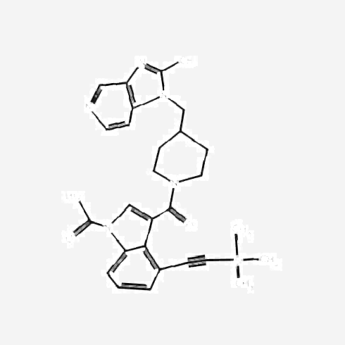 Cc1nc2cnccc2n1CC1CCN(C(=O)c2cn(C(=O)O)c3cccc(C#C[Si](C)(C)C)c23)CC1